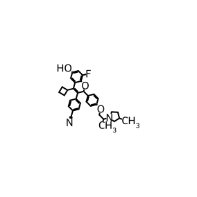 CC1CCN(C(C)COc2ccc(C3Oc4c(F)cc(O)cc4C(C4CCC4)=C3c3ccc(C#N)cc3)cc2)C1